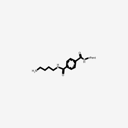 CCCCCNC(=O)c1ccc(C(=O)NCCCCN)cc1